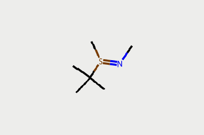 C/N=S(\C)C(C)(C)C